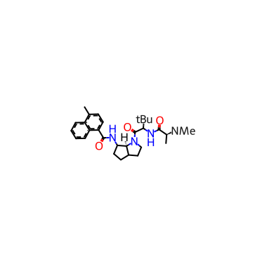 CN[C@@H](C)C(=O)NC(C(=O)N1CCC2CCC(NC(=O)c3ccc(C)c4ccccc34)[C@H]21)C(C)(C)C